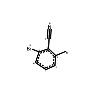 Cc1cccc(Br)c1C#N